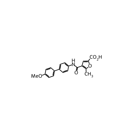 COc1ccc(-c2ccc(NC(=O)c3cc(C(=O)O)oc3C)cc2)cc1